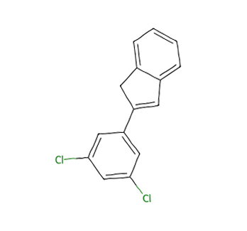 Clc1cc(Cl)cc(C2=Cc3ccccc3C2)c1